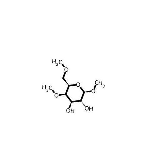 COC[C@H]1O[C@@H](OC)[C@H](O)[C@@H](O)[C@H]1OC